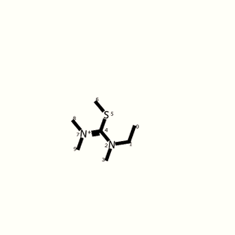 CCN(C)C(SC)=[N+](C)C